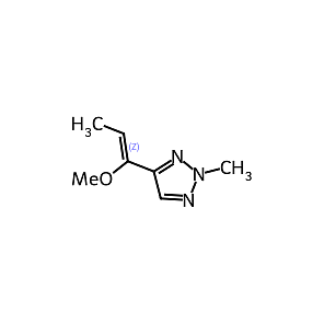 C/C=C(\OC)c1cnn(C)n1